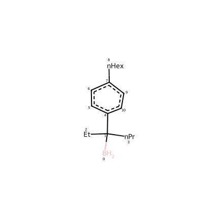 BC(CC)(CCC)c1ccc(CCCCCC)cc1